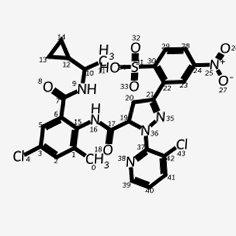 Cc1cc(Cl)cc(C(=O)NC(C)C2CC2)c1NC(=O)C1CC(c2cc([N+](=O)[O-])ccc2S(=O)(=O)O)=NN1c1ncccc1Cl